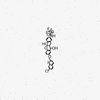 O=S(=O)(Nc1ccc(O)c(CC2COc3ccc(OCc4ccc5ccc(Cl)cc5n4)cc3C2O)c1)C(F)(F)F